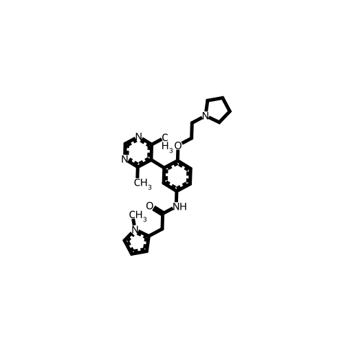 Cc1ncnc(C)c1-c1cc(NC(=O)Cc2cccn2C)ccc1OCCN1CCCC1